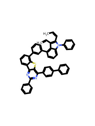 C=Cc1c(/C=C\C)n(-c2ccccc2)c2cccc(-c3cccc(-c4cccc5c4sc4c(-c6ccc(-c7ccccc7)cc6)nc(-c6ccccc6)nc45)c3)c12